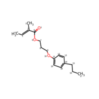 CC=C(C)C(=O)OCCCOc1ccc(CCC)cc1